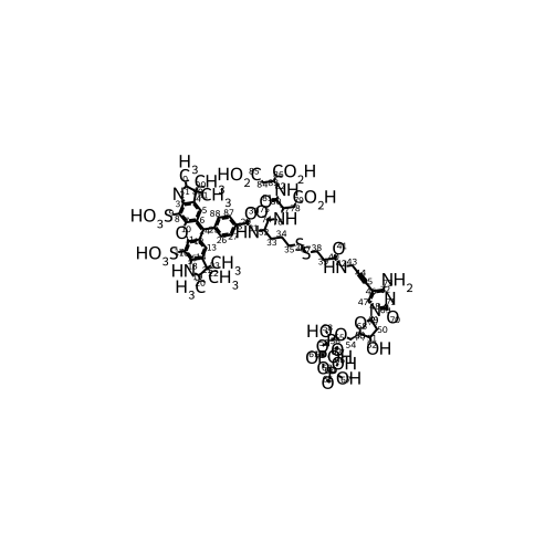 CC1N=c2c(cc3c(c2S(=O)(=O)O)Oc2c(cc4c(c2S(=O)(=O)O)NC(C)C4(C)C)C=3c2ccc(C(=O)NC(CCCSSCCC(=O)NCC#Cc3cn([C@H]4CC(O)[C@@H](COP(=O)(O)OP(=O)(O)OP(=O)(O)O)O4)c(=O)nc3N)C(=O)NC(CC(=O)O)C(=O)NC(CC(=O)O)C(=O)O)cc2)C1(C)C